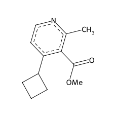 COC(=O)c1c(C2CCC2)ccnc1C